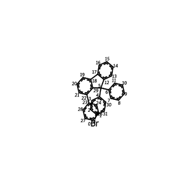 Brc1ccc(C2(c3ccccc3)c3ccccc3-c3cccc(-c4ccccc4)c32)cc1